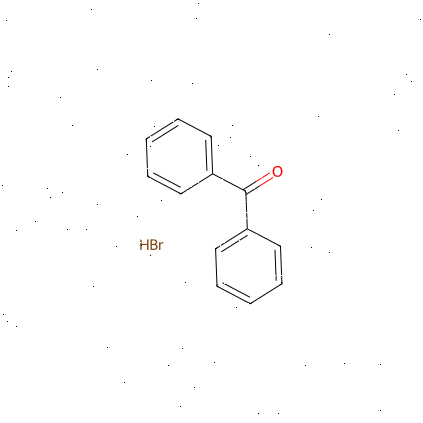 Br.O=C(c1ccccc1)c1ccccc1